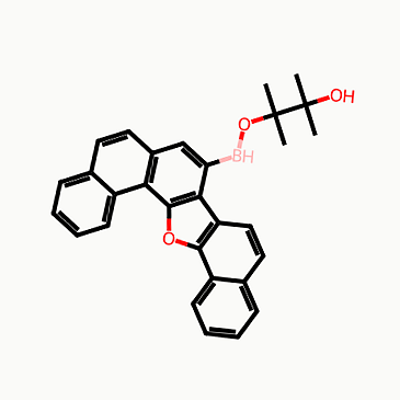 CC(C)(O)C(C)(C)OBc1cc2ccc3ccccc3c2c2oc3c4ccccc4ccc3c12